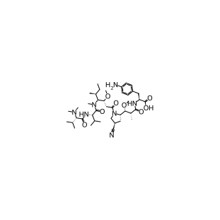 CC[C@H](C)[C@@H]([C@@H](CC(=O)N1C[C@H](C#N)C[C@H]1[C@H](OC)[C@@H](C)C(=O)N[C@@H](Cc1ccc(N)cc1)C(=O)O)OC)N(C)C(=O)[C@@H](NC(=O)[C@H](C(C)C)N(C)C)C(C)C